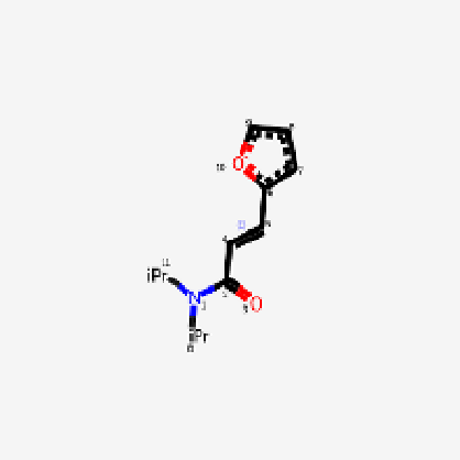 CC(C)N(C(=O)/C=C/c1ccco1)C(C)C